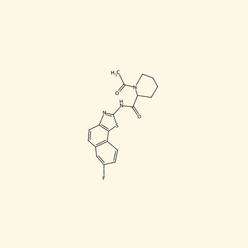 CC(=O)N1CCCCC1C(=O)Nc1nc2ccc3cc(F)ccc3c2s1